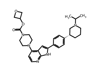 CC(C)N1CCC[C@H](c2ccc(-c3cc4c(N5CCN(C(=O)OC6COC6)CC5)ccnc4[nH]3)cc2)C1